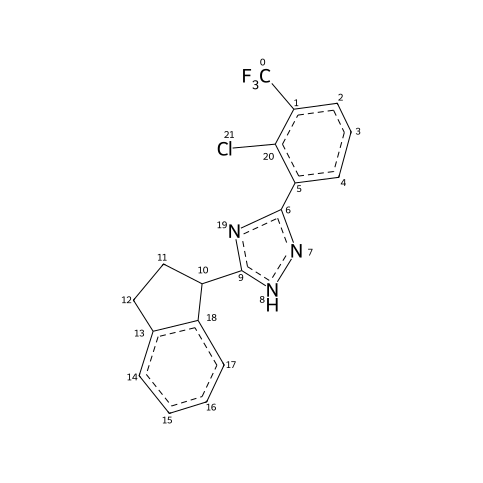 FC(F)(F)c1cccc(-c2n[nH]c(C3CCc4ccccc43)n2)c1Cl